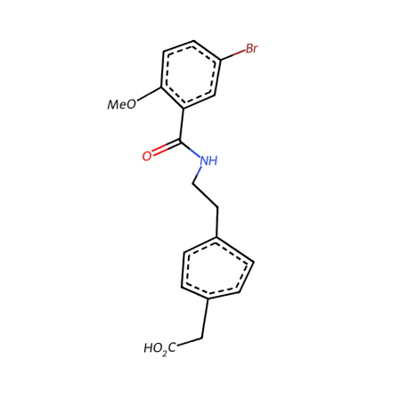 COc1ccc(Br)cc1C(=O)NCCc1ccc(CC(=O)O)cc1